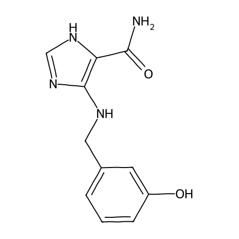 NC(=O)c1[nH]cnc1NCc1cccc(O)c1